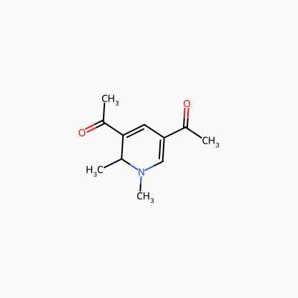 CC(=O)C1=CN(C)C(C)C(C(C)=O)=C1